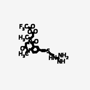 CC(CC(=O)OC(=O)C(F)(F)F)N1CC(=O)N(C)c2ccc(C#CSCCNC(=N)N)cc2C1=O